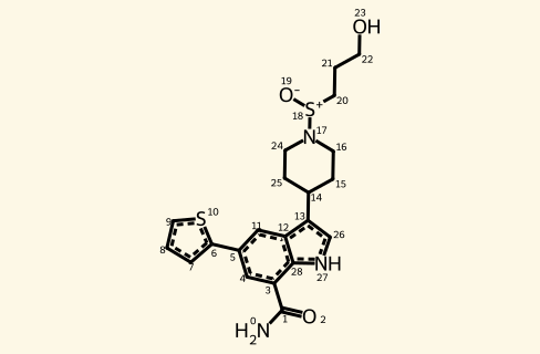 NC(=O)c1cc(-c2cccs2)cc2c(C3CCN([S+]([O-])CCCO)CC3)c[nH]c12